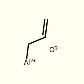 C=C[CH2][Al+2].[O-2]